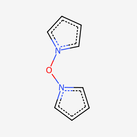 c1ccn(On2cccc2)c1